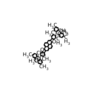 Cc1cc(C)c(N(c2ccc3c(c2)oc2c3cc3ccc4c5oc6cc(N(c7c(C)cc(C)cc7C)c7c(C)cc(C)cc7C)ccc6c5cc5ccc2c3c54)c2c(C)cc(C)cc2C)c(C)c1